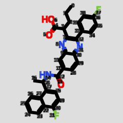 CCCC(C(=O)O)c1nc2cc(C(=O)NC(C)c3ccc(F)c4ccccc34)ccc2nc1-c1ccc(F)cc1